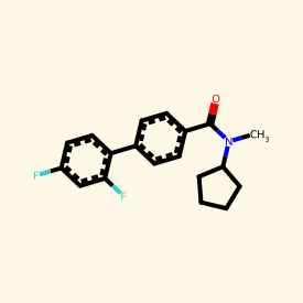 CN(C(=O)c1ccc(-c2ccc(F)cc2F)cc1)C1CCCC1